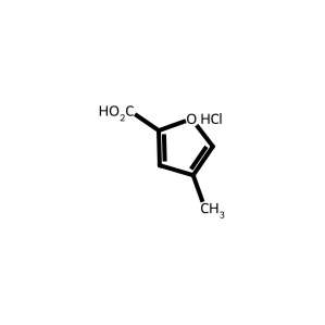 Cc1coc(C(=O)O)c1.Cl